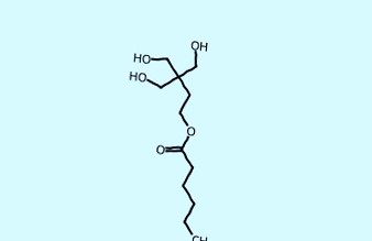 CCCCCC(=O)OCCC(CO)(CO)CO